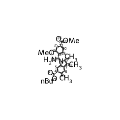 CCCCOC(=O)c1cc2c(cc1C)c(C)c(C)n2C(N)c1ccc(C(=O)OC)cc1OC